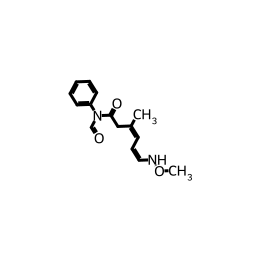 CON/C=C\C=C(\C)CC(=O)N(C=O)c1ccccc1